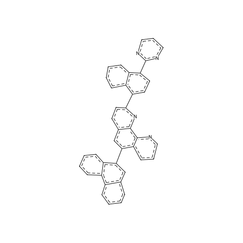 c1cnc(-c2ccc(-c3ccc4cc(-c5cc6ccccc6c6ccccc56)c5cccnc5c4n3)c3ccccc23)nc1